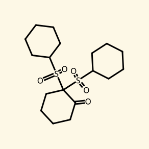 O=C1CCCCC1(S(=O)(=O)C1CCCCC1)S(=O)(=O)C1CCCCC1